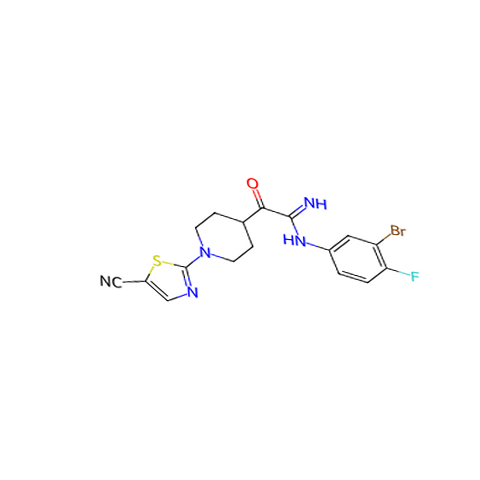 N#Cc1cnc(N2CCC(C(=O)C(=N)Nc3ccc(F)c(Br)c3)CC2)s1